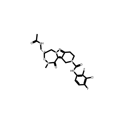 CC(=O)NC[C@@H]1Cn2nc3c(c2C(=O)N(C)O1)CN(C(=O)Nc1ccc(F)c(Cl)c1F)CC3